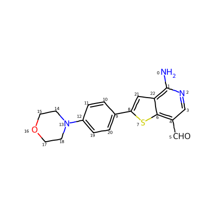 Nc1ncc(C=O)c2sc(-c3ccc(N4CCOCC4)cc3)cc12